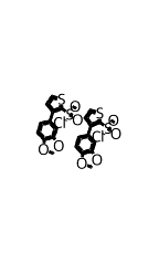 O=S(=O)(Cl)c1sccc1-c1ccc2c(c1)OCO2.O=S(=O)(Cl)c1sccc1-c1ccc2c(c1)OCO2